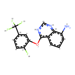 Nc1cccc2c(Oc3cc(C(F)(F)F)ccc3F)ncnc12